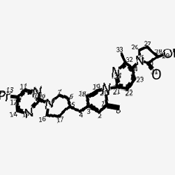 C=C1C=C(CC2CCN(c3ncc(CCC)cn3)CC2)C=CN1c1ccc(N2CCC(O)C2=O)c(C)n1